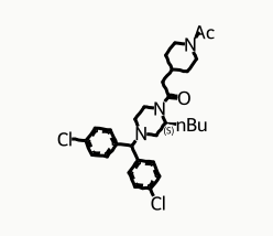 CCCC[C@H]1CN(C(c2ccc(Cl)cc2)c2ccc(Cl)cc2)CCN1C(=O)CC1CCN(C(C)=O)CC1